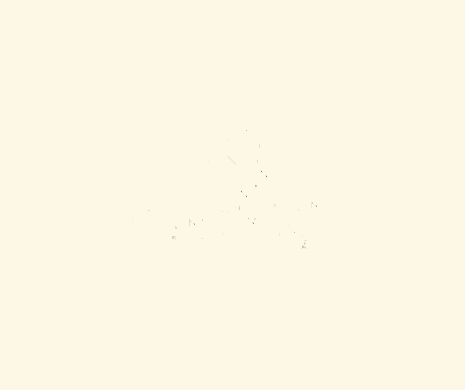 C#Cc1cccc(Nc2nc(C3CCN(C(=O)C=C)CC3)nc3cc(OC)c(N)cc23)c1